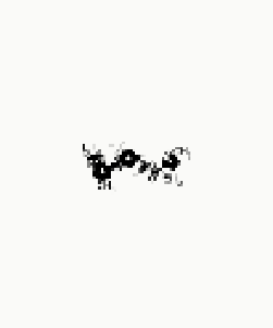 COc1cnc2c(-c3nc4c(C)cc5c(c4s3)OC[C@@H](OC(=O)N(C)c3ccc(C)nc3)O5)cc(C)cc2n1